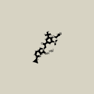 Br.CN(C)c1cc(C(=O)CN2Cc3ccc(C4CC4)nc3C2=N)cc(C(C)(C)C)c1OCC#N